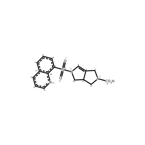 O=C(O)N1CC2=CN(S(=O)(=O)c3cccc4cccnc34)CC2C1